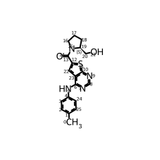 Cc1ccc(Nc2ncnc3sc(C(=O)N4CCC[C@H]4CO)cc23)cc1